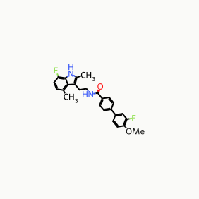 COc1ccc(-c2ccc(C(=O)NCCc3c(C)[nH]c4c(F)ccc(C)c34)cc2)cc1F